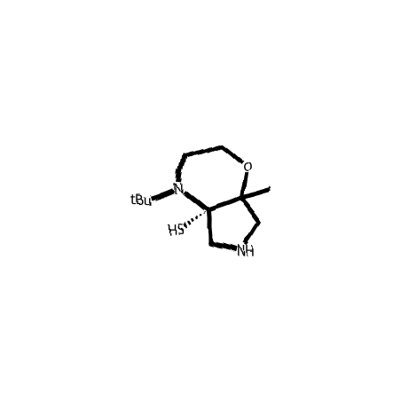 CC(C)(C)N1CCOC2(C)CNC[C@@]12S